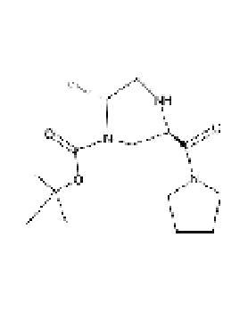 C[C@@H]1CN[C@@H](C(=O)N2CCCC2)CN1C(=O)OC(C)(C)C